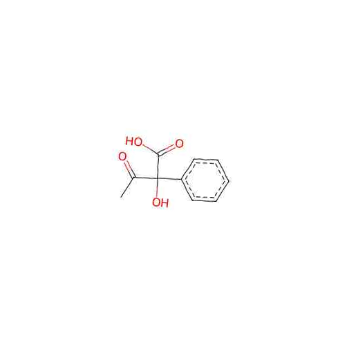 CC(=O)C(O)(C(=O)O)c1ccccc1